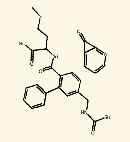 CSCCC(NC(=O)c1ccc(CNC(=O)S)cc1-c1ccccc1)C(=O)O.O=c1c2cccnc12